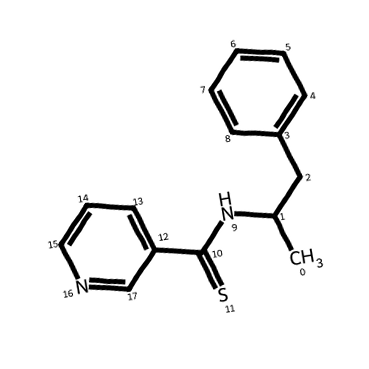 CC(Cc1ccccc1)NC(=S)c1cccnc1